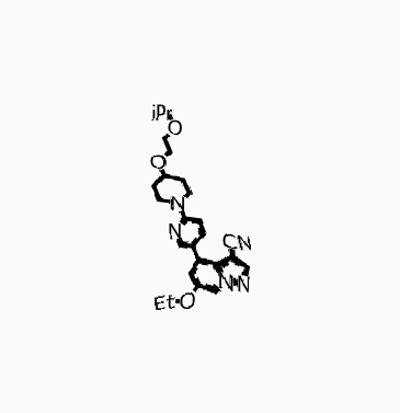 CCOc1cc(-c2ccc(N3CCC(OCCOC(C)C)CC3)nc2)c2c(C#N)cnn2c1